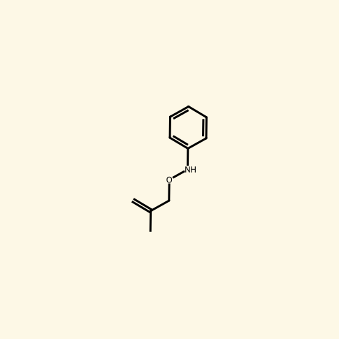 C=C(C)CONc1ccccc1